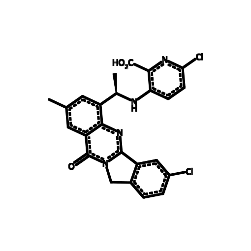 Cc1cc([C@@H](C)Nc2ccc(Cl)nc2C(=O)O)c2nc3n(c(=O)c2c1)Cc1ccc(Cl)cc1-3